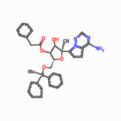 CC(C)(C)[Si](OC[C@H]1O[C@@](C#N)(c2ccc3c(N)ncnn23)[C@H](O)[C@@H]1OC(=O)Cc1ccccc1)(c1ccccc1)c1ccccc1